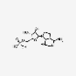 NC1NCNC2C1CCN2[C@H]1O[C@@H](COP(=O)(O)O)[C@H](O)[C@@H]1O